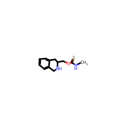 CNC(=S)OCC1Cc2ccccc2CN1